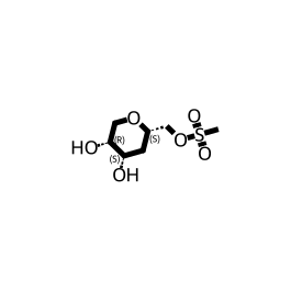 CS(=O)(=O)OC[C@@H]1C[C@H](O)[C@H](O)CO1